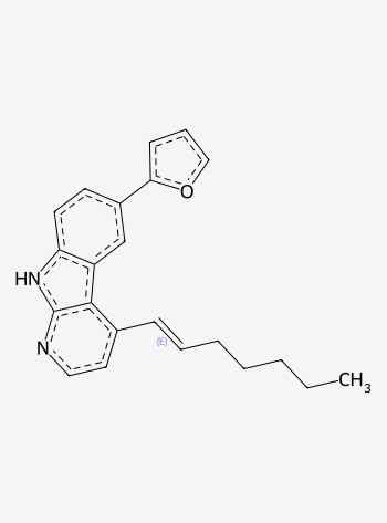 CCCCC/C=C/c1ccnc2[nH]c3ccc(-c4ccco4)cc3c12